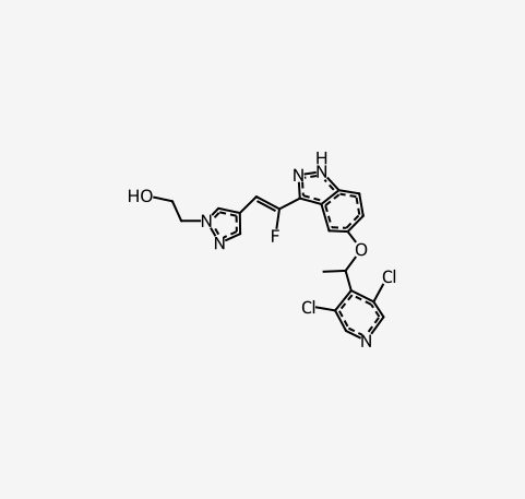 CC(Oc1ccc2[nH]nc(/C(F)=C/c3cnn(CCO)c3)c2c1)c1c(Cl)cncc1Cl